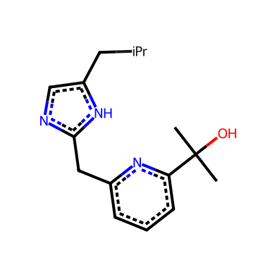 CC(C)Cc1cnc(Cc2cccc(C(C)(C)O)n2)[nH]1